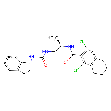 O=C(NC[C@H](NC(=O)c1c(Cl)cc2c(c1Cl)CCCC2)C(=O)O)N[C@@H]1CCc2ccccc21